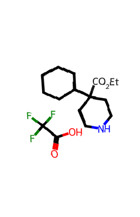 CCOC(=O)C1(C2CCCCC2)CCNCC1.O=C(O)C(F)(F)F